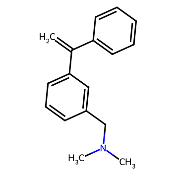 C=C(c1ccccc1)c1cccc(CN(C)C)c1